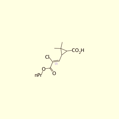 CCCOC(=O)/C(Cl)=C/C1C(C(=O)O)C1(C)C